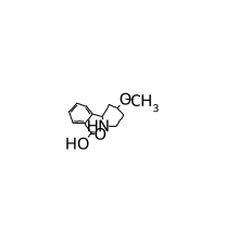 COC1CCNC(c2ccccc2C(=O)O)C1